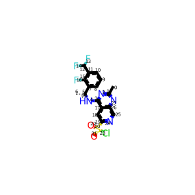 Cc1nc(N[C@H](C)c2cccc(C(F)F)c2F)c2cc(S(=O)(=O)Cl)ncc2n1